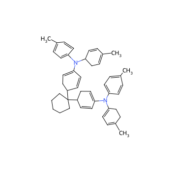 CC1=CCC(N(C2=CCC(C3(C4C=CC(N(C5=CC=C(C)CC5)c5ccc(C)cc5)=CC4)CCCCC3)C=C2)c2ccc(C)cc2)C=C1